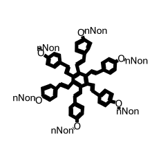 CCCCCCCCCOc1ccc(C=Cc2c(C=Cc3ccc(OCCCCCCCCC)cc3)c(C=Cc3ccc(OCCCCCCCCC)cc3)c(C=Cc3ccc(OCCCCCCCCC)cc3)c(C=Cc3ccc(OCCCCCCCCC)cc3)c2C=Cc2ccc(OCCCCCCCCC)cc2)cc1